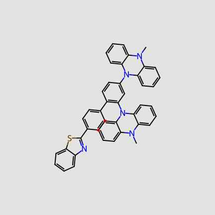 CN1c2ccccc2N(c2ccc(-c3ccc(-c4nc5ccccc5s4)cc3)c(N3c4ccccc4N(C)c4ccccc43)c2)c2ccccc21